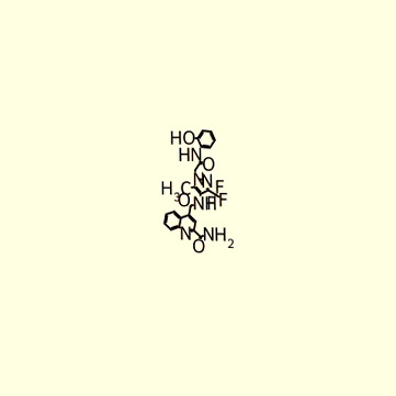 Cc1c(NC(=O)c2cc(C(N)=O)nc3ccccc23)c(C(F)(F)F)nn1CC(=O)Nc1ccccc1O